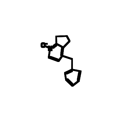 [O-][n+]1ccc(Cc2ccccc2)c2c1CCC2